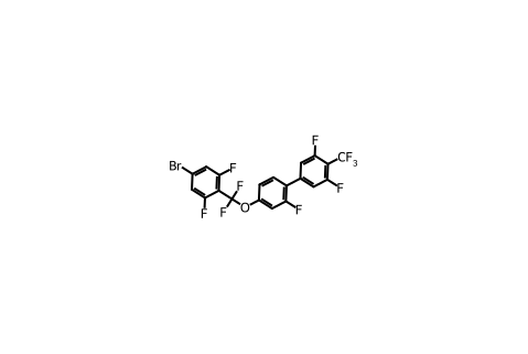 Fc1cc(OC(F)(F)c2c(F)cc(Br)cc2F)ccc1-c1cc(F)c(C(F)(F)F)c(F)c1